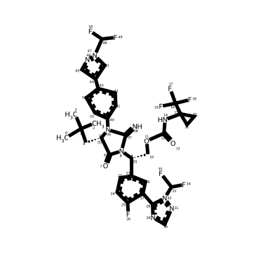 CC(C)(C)C[C@H]1C(=O)N([C@H](COC(=O)NC2(C(F)(F)F)CC2)c2ccc(F)c(-c3ncnn3C(F)F)c2)C(=N)N1c1ccc(-c2cnn(C(F)F)c2)cc1